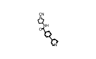 N#CN1CCC(NC(=O)c2ccc(-c3ccncc3)cc2)C1